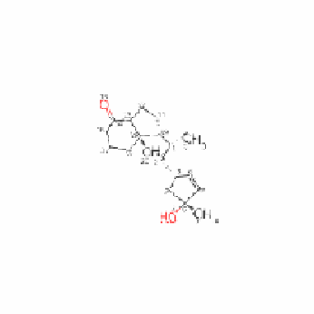 C[C@H](C[C@@H]1C=C[C@](C)(O)C1)[C@H]1CCC2C(=O)CCC[C@]21C